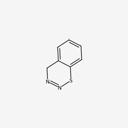 [c]1ccc2c(c1)CN=NS2